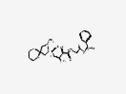 CCCC(NC(=O)[C@@H]1CC2(CN1C)SCCCS2)C(=O)C(=O)NCC(=O)N[C@H](C(C)=O)c1ccccc1